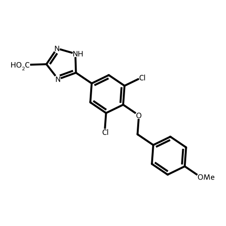 COc1ccc(COc2c(Cl)cc(-c3nc(C(=O)O)n[nH]3)cc2Cl)cc1